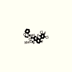 CON(C)c1c(C(=O)NN2CCOc3ccccc32)cnc2c(-c3cc(Cl)c(F)c(Cl)c3F)c(F)ccc12